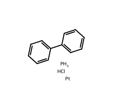 Cl.P.[Pt].c1ccc(-c2ccccc2)cc1